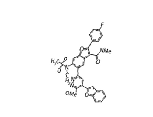 CNC(=O)c1c(-c2ccc(F)cc2)oc2cc(N(C)S(C)(=O)=O)c(-c3cc(-c4cc5ccccc5o4)c(OC)nn3)cc12